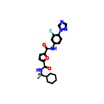 C[C@H](NC(=O)c1ccc(C(=O)Nc2ccc(-n3cncn3)c(F)c2)o1)C1CCCCC1